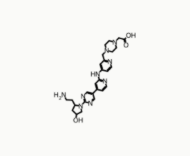 NCCC1CC(O)CN1c1ncc(-c2ccnc(Nc3ccnc(CN4CCN(CC(=O)O)CC4)c3)c2)cn1